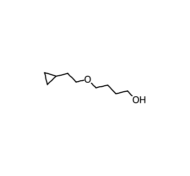 OCCCCOCCC1CC1